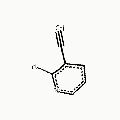 C#Cc1cccnc1Cl